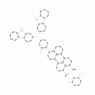 CC(C)c1cccc(C(C)C)c1N1C(=O)c2ccc3c4cccc5c(-c6ccc(N(c7ccc8c(c7)C(C)(C)c7ccccc7-8)c7ccc8c(c7)C(C)(C)c7ccccc7-8)cc6[N+](=O)[O-])ccc(c6ccc(c2c36)C1=O)c54